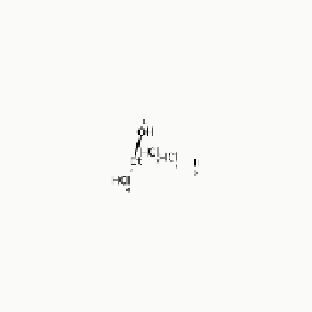 CCO.Cl.Cl.Cl.[Ti]